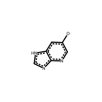 [O]c1cnc2nc[nH]c2c1